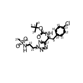 CC(C)(C)OC(=O)N[C@@H](Cc1ccc(Cl)cc1)c1nnn(CCNS(C)(=O)=O)n1